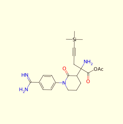 CC(=O)OC(=O)C(N)(CC#C[Si](C)(C)C)C1CCCN(c2ccc(C(=N)N)cc2)C1=O